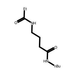 CCCCNC(=O)CCCNC(=O)CC